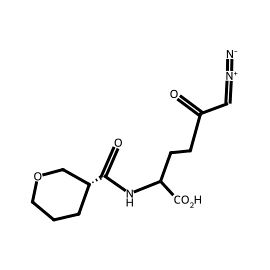 [N-]=[N+]=CC(=O)CCC(NC(=O)[C@@H]1CCCOC1)C(=O)O